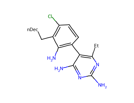 CCCCCCCCCCCc1c(Cl)ccc(-c2c(N)nc(N)nc2CC)c1N